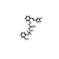 Cc1cc(C=Cc2ccccc2OCC(O)CNC(C)(C)Cc2ccccc2O)on1